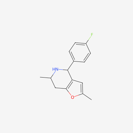 Cc1cc2c(o1)CC(C)NC2c1ccc(F)cc1